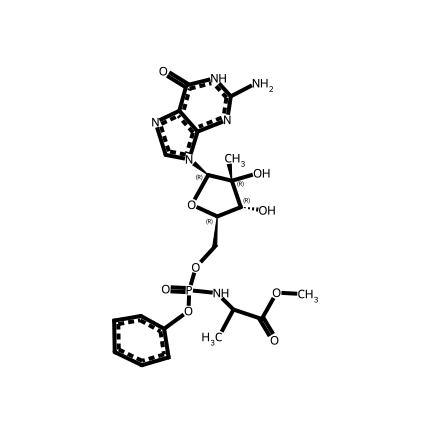 COC(=O)C(C)NP(=O)(OC[C@H]1O[C@@H](n2cnc3c(=O)[nH]c(N)nc32)[C@](C)(O)[C@@H]1O)Oc1ccccc1